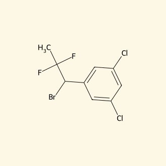 CC(F)(F)C(Br)c1cc(Cl)cc(Cl)c1